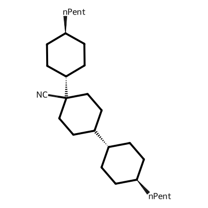 CCCCC[C@H]1CC[C@H](C2CCC(C#N)([C@H]3CC[C@H](CCCCC)CC3)CC2)CC1